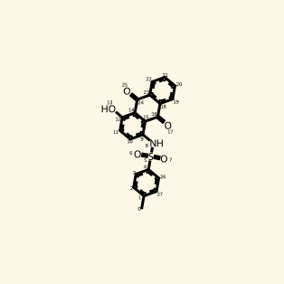 Cc1ccc(S(=O)(=O)Nc2ccc(O)c3c2C(=O)c2ccccc2C3=O)cc1